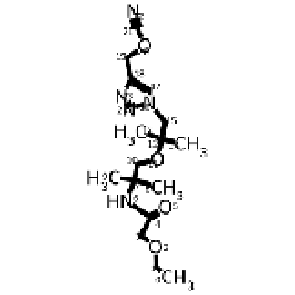 CCOCC(=O)NC(C)(C)COC(C)(C)Cn1cc(COC#N)nn1